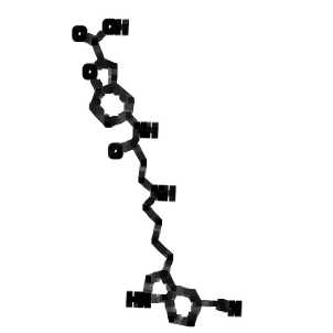 N#Cc1ccc2[nH]cc(CCCCNCCC(=O)Nc3ccc4oc(C(=O)O)cc4c3)c2c1